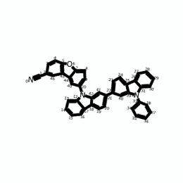 N#Cc1ccc2oc3ccc(-n4c5ccccc5c5ccc(-c6ccc7c8ccccc8n(-c8ccccc8)c7c6)cc54)cc3c2c1